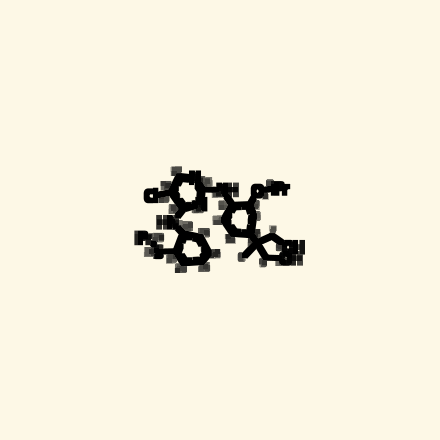 CC(C)Oc1cc(C(C)(CO)CO)ccc1Nc1ncc(Cl)c(Nc2ccccc2SC(C)C)n1